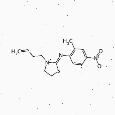 C=CCCN1CCSC1=Nc1ccc([N+](=O)[O-])cc1C